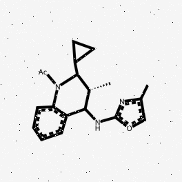 CC(=O)N1c2ccccc2C(Nc2nc(C)co2)[C@@H](C)C1C1CC1